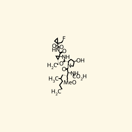 C=CCCC(C)C[C@@H](COC)[C@H](NC(=O)O)C(=O)N1C[C@H](O)C[C@H]1C(=O)N[C@]1(C(=O)NS(=O)(=O)C2(CF)CC2)C[C@H]1C=C